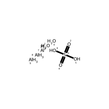 O.O.O=S(=O)(O)O.[AlH3].[AlH3].[AlH3]